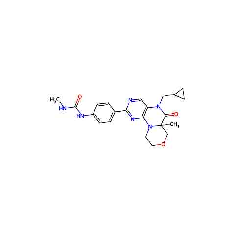 CNC(=O)Nc1ccc(-c2ncc3c(n2)N2CCOCC2(C)C(=O)N3CC2CC2)cc1